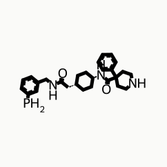 O=C(C[C@H]1CC[C@@H](NC(=O)C2(c3ccccc3)CCNCC2)CC1)NCc1cccc(P)c1